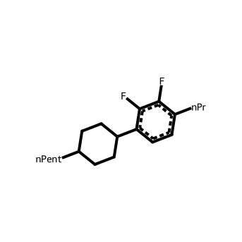 CCCCCC1CCC(c2ccc(CCC)c(F)c2F)CC1